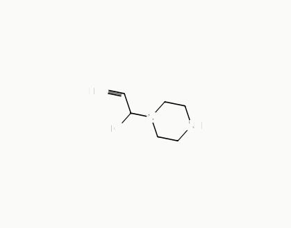 C=CC(O)N1[CH]CNCC1